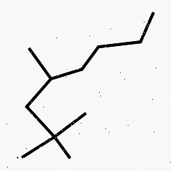 [CH2]C(C)(C)CC(C)CCCC